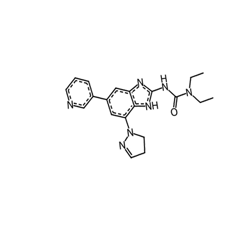 CCN(CC)C(=O)Nc1nc2cc(-c3cccnc3)cc(N3CCC=N3)c2[nH]1